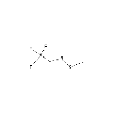 CSSCC(F)(F)F